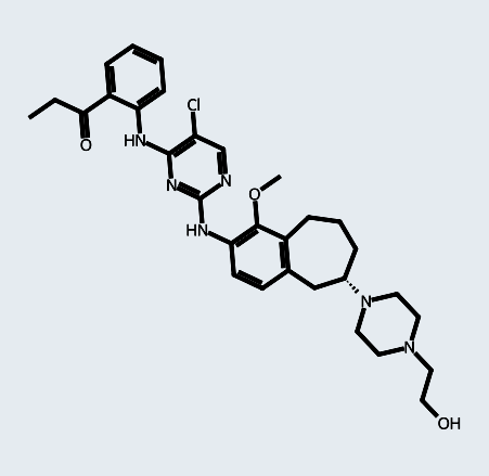 CCC(=O)c1ccccc1Nc1nc(Nc2ccc3c(c2OC)CCC[C@H](N2CCN(CCO)CC2)C3)ncc1Cl